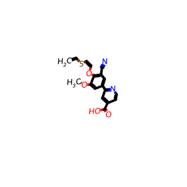 C=CS/C=C\Oc1c(C#N)cc(-c2cc(C(=O)O)ccn2)cc1OC